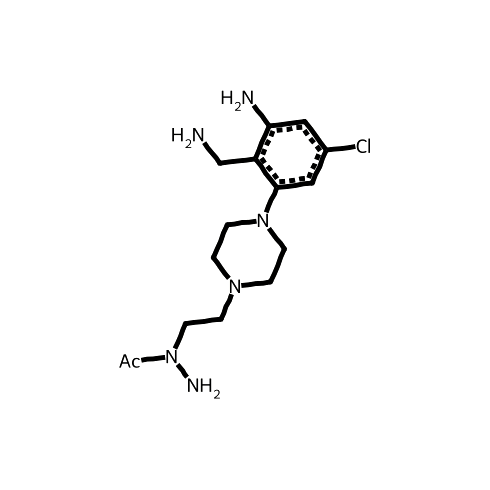 CC(=O)N(N)CCN1CCN(c2cc(Cl)cc(N)c2CN)CC1